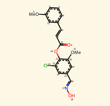 COc1cccc(C=CC(=O)Oc2c(Cl)cc(/C=N/O)cc2OC)c1